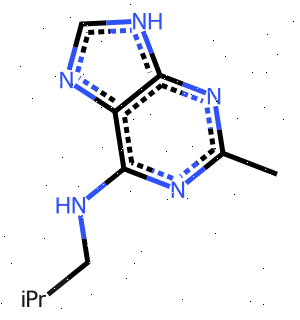 Cc1nc(NCC(C)C)c2nc[nH]c2n1